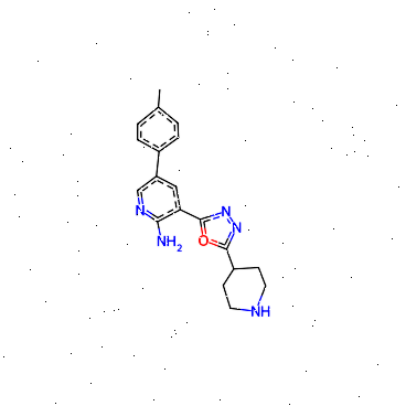 Cc1ccc(-c2cnc(N)c(-c3nnc(C4CCNCC4)o3)c2)cc1